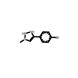 CN1C=C(c2ccc(Br)cc2)NN1